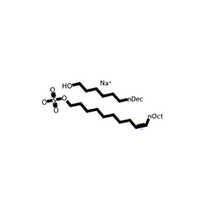 CCCCCCCC/C=C\CCCCCCCCOS(=O)(=O)[O-].CCCCCCCCCCCCCCCCO.[Na+]